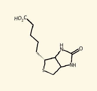 O=C(O)CCCC[C@H]1SCC2NC(=O)NC21